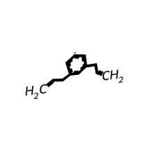 C=CCc1c[c]cc(CC=C)c1